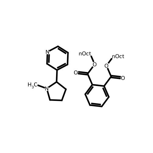 CCCCCCCCOC(=O)c1ccccc1C(=O)OCCCCCCCC.CN1CCCC1c1cccnc1